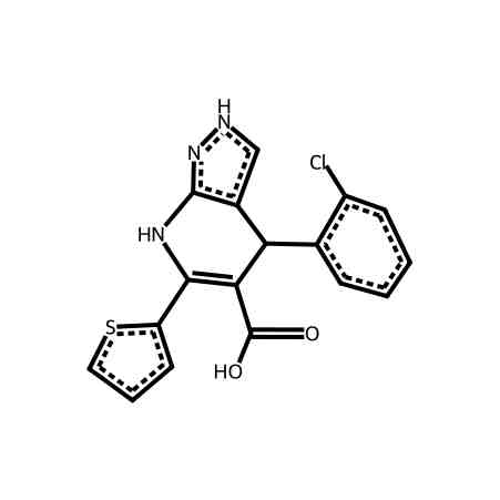 O=C(O)C1=C(c2cccs2)Nc2n[nH]cc2C1c1ccccc1Cl